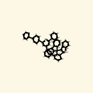 c1ccc(-c2ccc(-c3cc(-c4cccc(-c5cccc6c5C5(c7ccccc7-c7ccccc75)c5c-6sc6ccccc56)c4)cc(-c4ccccc4)n3)cc2)cc1